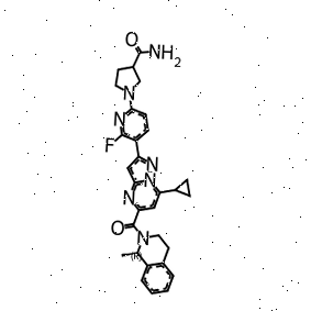 C[C@@H]1c2ccccc2CCN1C(=O)c1cc(C2CC2)n2nc(-c3ccc(N4CCC(C(N)=O)C4)nc3F)cc2n1